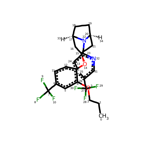 CCCOc1cc(C(F)(F)F)ccc1O[C@H]1C[C@H]2CC[C@@H](C1)N2c1ccc(C(F)(F)F)cn1